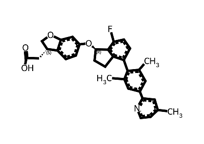 Cc1ccnc(-c2cc(C)c(-c3ccc(F)c4c3CC[C@H]4Oc3ccc4c(c3)OC[C@H]4CC(=O)O)c(C)c2)c1